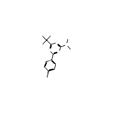 Cc1ccc(-c2nc([SH](C)C)nc(C(C)(C)C)n2)cc1